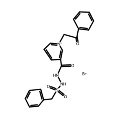 O=C(C[n+]1cccc(C(=O)NNS(=O)(=O)Cc2ccccc2)c1)c1ccccc1.[Br-]